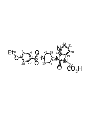 CCOc1ccc(S(=O)(=O)N2CCC(n3c(=O)n(CC(=O)O)c4cccnc43)CC2)cc1